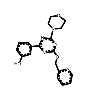 Oc1cccc(-c2nc(OCc3ccccn3)nc(N3CCOCC3)n2)c1